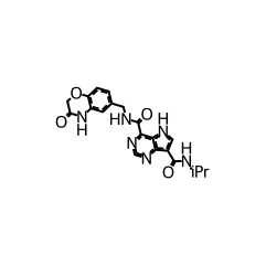 CC(C)NC(=O)c1c[nH]c2c(C(=O)NCc3ccc4c(c3)NC(=O)CO4)ncnc12